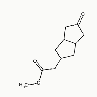 COC(=O)CC1CC2CC(=O)CC2C1